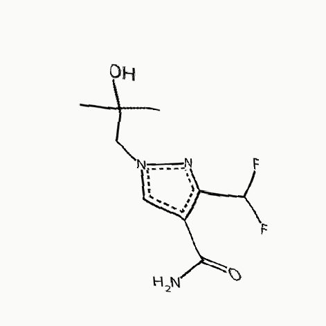 CC(C)(O)Cn1cc(C(N)=O)c(C(F)F)n1